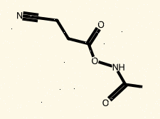 CC(=O)NOC(=O)CCC#N